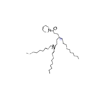 CCCCCCCCC/C=C(/CCC(=O)N1CCC=CCC1)CCN(CCCCCCCCC)CCCCCCCCC